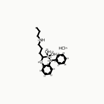 CCCNCCCC1Oc2ccccc2N(c2ccccc2)S1(O)O.Cl